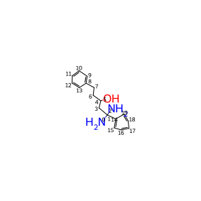 NC(N)(CC(O)CCc1ccccc1)c1ccccc1